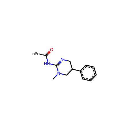 CCCC(=O)NC1=NCC(c2ccccc2)CN1C